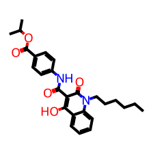 CCCCCCn1c(=O)c(C(=O)Nc2ccc(C(=O)OC(C)C)cc2)c(O)c2ccccc21